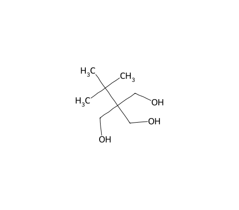 CC(C)(C)C(CO)(CO)CO